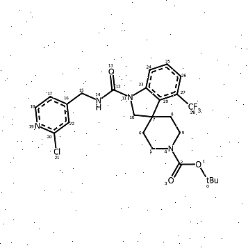 CC(C)(C)OC(=O)N1CCC2(CC1)CN(C(=O)NCc1ccnc(Cl)c1)c1cccc(C(F)(F)F)c12